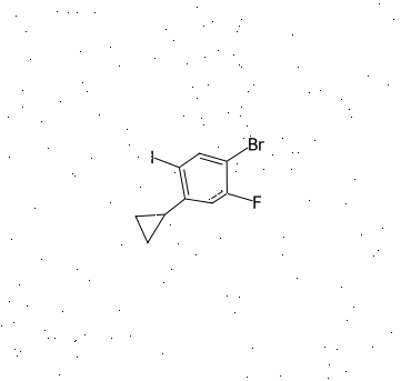 Fc1cc(C2CC2)c(I)cc1Br